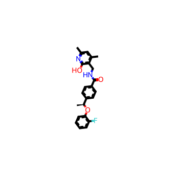 Cc1cc(C)c(CNC(=O)c2ccc([C@H](C)Oc3ccccc3F)cc2)c(O)n1